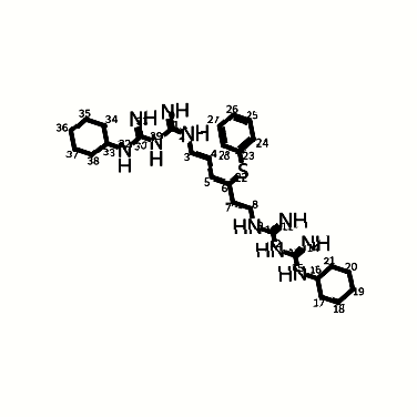 N=C(NCCCC(CCNC(=N)NC(=N)NC1CCCCC1)Sc1ccccc1)NC(=N)NC1CCCCC1